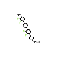 CCCCCC1CC=C(c2ccc(-c3ccc(-c4ccc(CCC)c(F)c4F)cc3)c(F)c2F)CC1